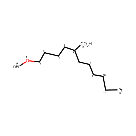 CCCOCCCCC(CCCCCC(C)C)C(=O)O